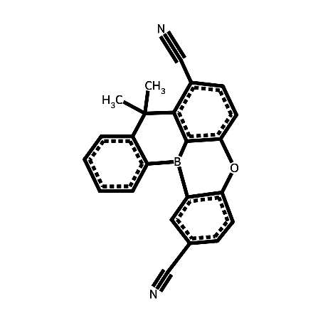 CC1(C)c2ccccc2B2c3cc(C#N)ccc3Oc3ccc(C#N)c1c32